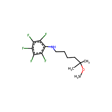 CC(C)(CCCCNc1c(F)c(F)c(F)c(F)c1F)O[SiH3]